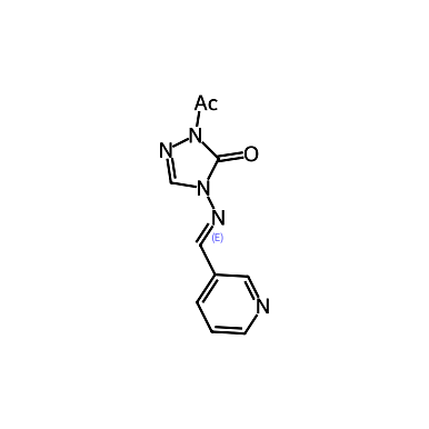 CC(=O)n1ncn(/N=C/c2cccnc2)c1=O